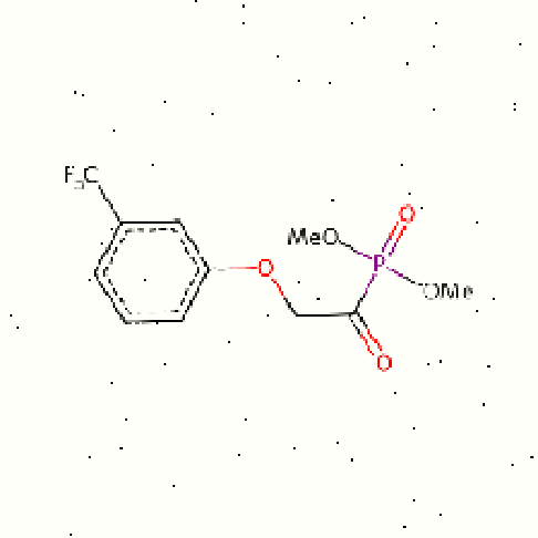 COP(=O)(OC)C(=O)COc1cccc(C(F)(F)F)c1